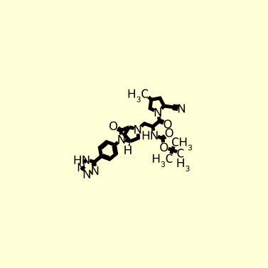 CC1CC(C#N)N(C(=O)C(CN2C[C@@H]3CC2C(=O)N3c2ccc(-c3nnn[nH]3)cc2)NC(=O)OC(C)(C)C)C1